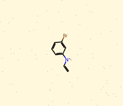 C=C[N+]c1cccc(Br)c1